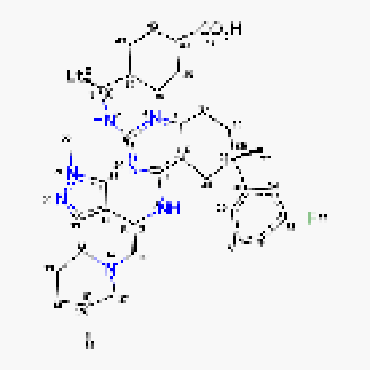 CC[C@H](Nc1nc2c(c(N[C@@H](CN3CCC[C@@H](C)C3)c3cnn(C)c3)n1)C[C@@](C)(c1cccc(F)c1)CC2)C1CCC(C(=O)O)CC1